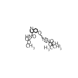 CCOC(=O)CNC(=O)c1ccnc2ccc(OCCCN3CCN(C(=O)OC(C)(C)C)CC3)cc12